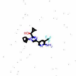 Nc1ncc(-c2cn(C3CC4CC3C4)c(C(O)C3CC3)n2)cc1C(F)(F)F